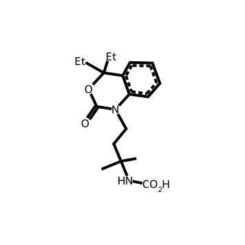 CCC1(CC)OC(=O)N(CCC(C)(C)NC(=O)O)c2ccccc21